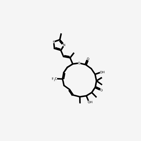 C/C(=C\c1csc(C)n1)C1C/C=C(/C(F)(F)F)C/C=C/C(C)C(O)C(C)C(=O)C(C)(C)C(O)CC(=O)O1